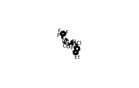 CCc1ccc2c(c1)CCc1c-2nc2c(C(=O)N3CCN(Cc4cc(F)cc(F)c4F)C[C@H]3C)cnn2c1Cl